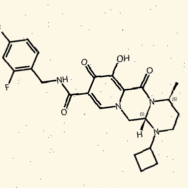 C[C@H]1CCN(C2CCC2)[C@@H]2Cn3cc(C(=O)NCc4ccc(F)cc4F)c(=O)c(O)c3C(=O)N12